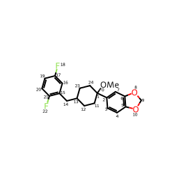 COC1(c2ccc3c(c2)OCO3)CCC(Cc2cc(F)ccc2F)CC1